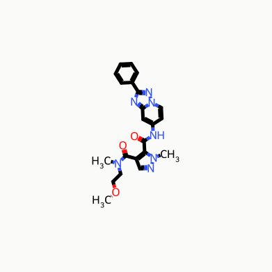 COCCN(C)C(=O)c1cnn(C)c1C(=O)Nc1ccn2nc(-c3ccccc3)nc2c1